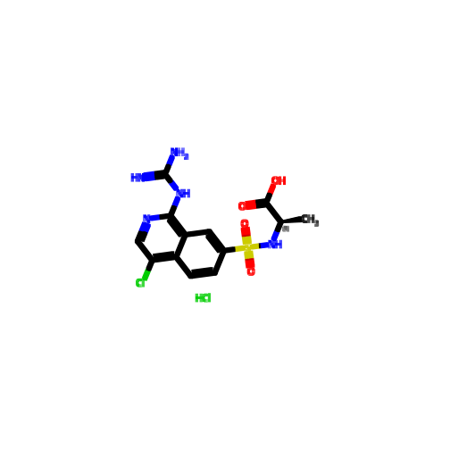 C[C@@H](NS(=O)(=O)c1ccc2c(Cl)cnc(NC(=N)N)c2c1)C(=O)O.Cl